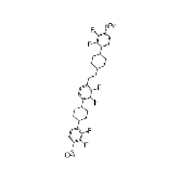 CCCc1ccc(C2CCC(CCc3ccc(C4CCC(c5ccc(C6CO6)c(F)c5F)CC4)c(F)c3F)CC2)c(F)c1F